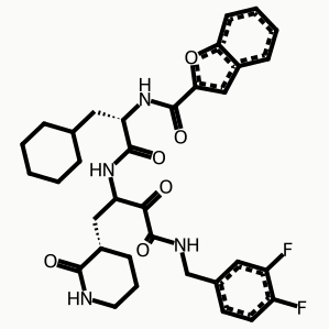 O=C(NCc1ccc(F)c(F)c1)C(=O)C(C[C@@H]1CCCNC1=O)NC(=O)[C@H](CC1CCCCC1)NC(=O)c1cc2ccccc2o1